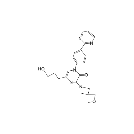 O=c1c(N2CC3(COC3)C2)nc(CCCO)cn1-c1ccc(-c2ncccn2)cc1